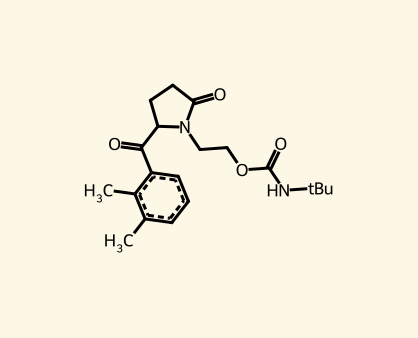 Cc1cccc(C(=O)C2CCC(=O)N2CCOC(=O)NC(C)(C)C)c1C